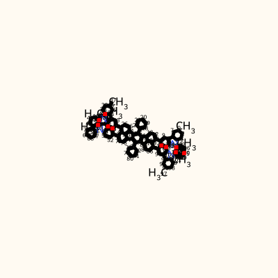 CC1CCC2(C)C(C1)c1cc(-c3ccc4c5c(-c6ccccc6)c6c7ccc(-c8ccc9c(c8)C8CC(C)CCC8(C)N9c8ccccc8)c8c(-c9ccc%10c(c9)C9CC(C)CCC9(C)N%10c9ccccc9)ccc(c6c(-c6ccccc6)c5c5ccc(-c6ccc9c(c6)C6CC(C)CCC6(C)N9c6ccccc6)c3c45)c87)ccc1N2c1ccccc1